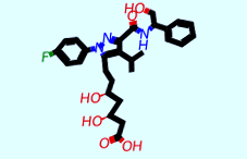 CC(C)c1c(C(=O)NC(CO)c2ccccc2)nn(-c2ccc(F)cc2)c1CC[C@@H](O)C[C@@H](O)CC(=O)O